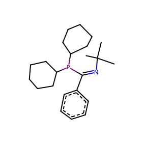 CC(C)(C)N=C(c1ccccc1)P(C1CCCCC1)C1CCCCC1